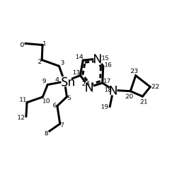 CCC[CH2][Sn]([CH2]CCC)([CH2]CCC)[c]1cncc(N(C)C2CCC2)n1